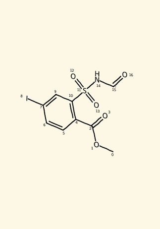 COC(=O)c1ccc(I)cc1S(=O)(=O)N[C]=O